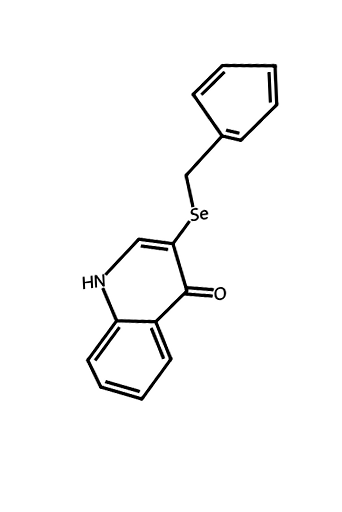 O=c1c([Se]Cc2ccccc2)c[nH]c2ccccc12